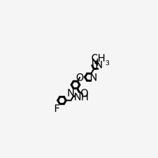 Cn1cc(-c2cc(Oc3ccc4nc(Cc5cccc(F)c5)[nH]c(=O)c4c3)ccn2)cn1